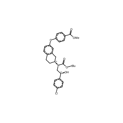 COC(=O)c1ccc(Oc2ccc3c(c2)C[C@@H](N(C[C@@H](O)c2ccc(Cl)cc2)C(=O)OC(C)(C)C)CC3)cc1